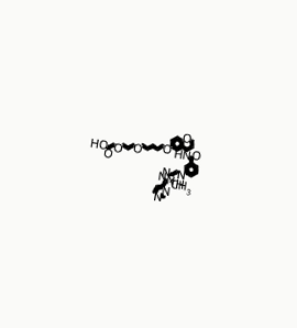 Cn1c(CNc2cccc(C(=O)N[C@H]3CCOc4ccc(OCCCCCOCCCOCC(=O)O)cc43)c2)nnc1-c1ccncn1